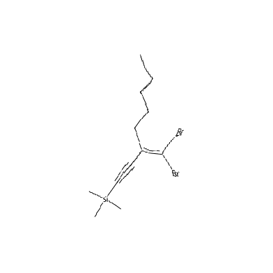 CCCCCC(C#C[Si](C)(C)C)=C(Br)Br